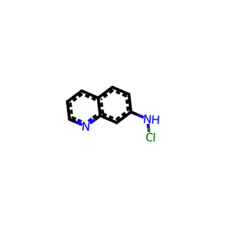 ClNc1ccc2cccnc2c1